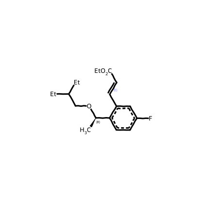 CCOC(=O)/C=C/c1cc(F)ccc1[C@@H](C)OCC(CC)CC